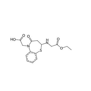 CCOC(=O)CNC1CC(=O)N(CC(=O)O)c2ccccc2S1